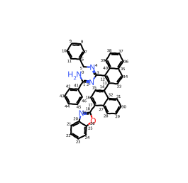 N/C(=N\C(=N/Cc1ccccc1)c1c(-c2ccc(-c3nc4ccccc4o3)c3ccccc23)ccc2ccccc12)c1ccccc1